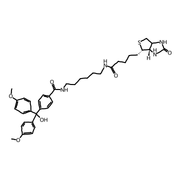 COc1ccc(C(O)(c2ccc(OC)cc2)c2ccc(C(=O)NCCCCCCNC(=O)CCCC[C@@H]3SCC4NC(=O)N[C@@H]43)cc2)cc1